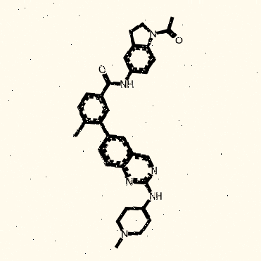 CC(=O)N1CCc2cc(NC(=O)c3ccc(C)c(-c4ccc5nc(NC6CCN(C)CC6)ncc5c4)c3)ccc21